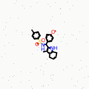 COc1ccc(C(NS(=O)(=O)c2ccc(C)cc2)c2[nH]c3c(c2C)CC=CC3)cc1